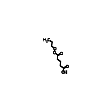 CCCOOC(=O)CCCC(=O)O